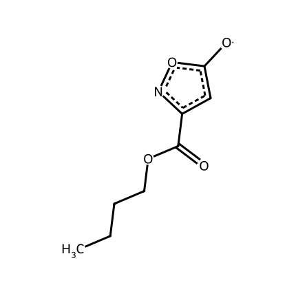 CCCCOC(=O)c1cc([O])on1